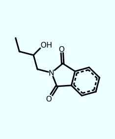 CCC(O)CN1C(=O)c2ccccc2C1=O